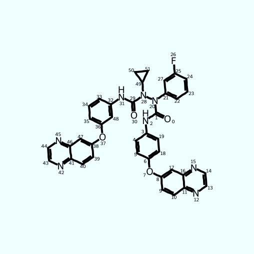 O=C(Nc1ccc(Oc2ccc3nccnc3c2)cc1)N(c1cccc(F)c1)N(C(=O)Nc1cccc(Oc2ccc3nccnc3c2)c1)C1CC1